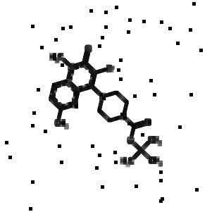 Cc1ccc2c(n1)c(N1CCN(C(=O)OC(C)(C)C)CC1)c(Br)c(=O)n2C